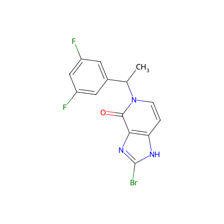 CC(c1cc(F)cc(F)c1)n1ccc2[nH]c(Br)nc2c1=O